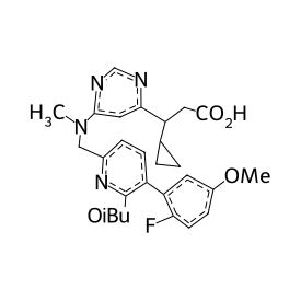 COc1ccc(F)c(-c2ccc(CN(C)c3cc(C(CC(=O)O)C4CC4)ncn3)nc2OCC(C)C)c1